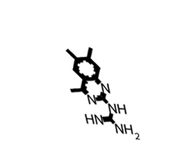 Cc1cc2nc(NC(=N)N)nc(C)c2cc1C